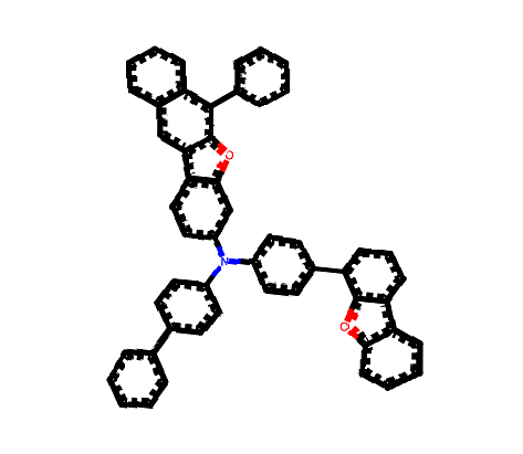 c1ccc(-c2ccc(N(c3ccc(-c4cccc5c4oc4ccccc45)cc3)c3ccc4c(c3)oc3c(-c5ccccc5)c5ccccc5cc34)cc2)cc1